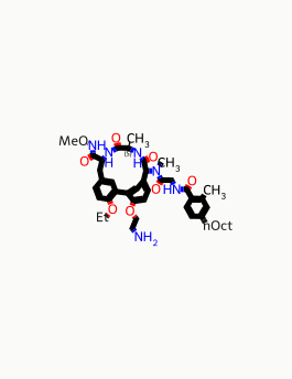 CCCCCCCCc1ccc(C(=O)NCC(=O)N(C)C2C(=O)N[C@@H](C)C(=O)NC(C(=O)NOC)Cc3ccc(OCC)c(c3)-c3cc2ccc3OCCN)c(C)c1